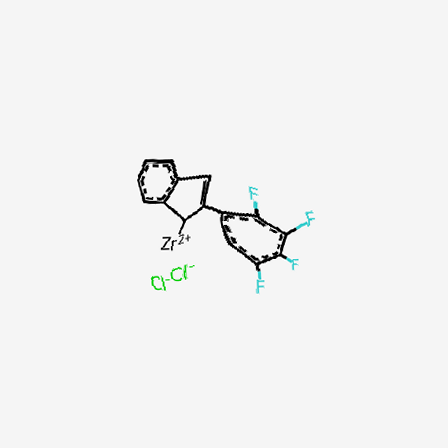 Fc1cc(C2=Cc3ccccc3[CH]2[Zr+2])c(F)c(F)c1F.[Cl-].[Cl-]